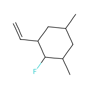 C=CC1CC(C)CC(C)C1F